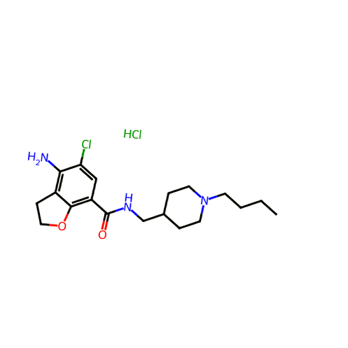 CCCCN1CCC(CNC(=O)c2cc(Cl)c(N)c3c2OCC3)CC1.Cl